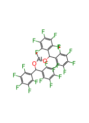 [CH3][Al]([O]C(c1c(F)c(F)c(F)c(F)c1F)c1c(F)c(F)c(F)c(F)c1F)[O]C(c1c(F)c(F)c(F)c(F)c1F)c1c(F)c(F)c(F)c(F)c1F